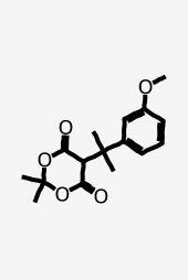 COc1cccc(C(C)(C)C2C(=O)OC(C)(C)OC2=O)c1